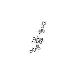 CCCN1C(=O)[C@H](CCCCNC(=O)OCc2ccccc2)NC(=O)C12CCN(C(=O)c1ccc(OC)cc1)CC2